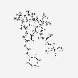 CC(C)[Si](OCc1nn(CCOC2CCCCO2)cc1-n1nc(C(C)(C)C)cc1NC(=O)OCC(C)(C)Cl)(C(C)C)C(C)C